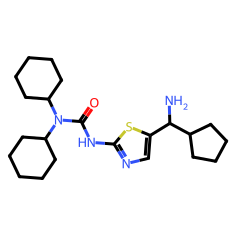 NC(c1cnc(NC(=O)N(C2CCCCC2)C2CCCCC2)s1)C1CCCC1